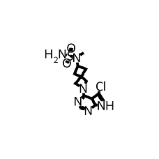 CN(C1CC2(C1)CN(C1=NC=NC3NC=C(Cl)C13)C2)S(N)(=O)=O